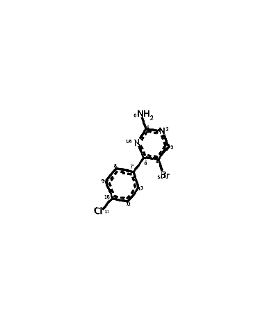 Nc1ncc(Br)c(-c2ccc(Cl)cc2)n1